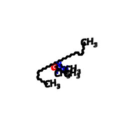 CCCCC/C=C\C/C=C\CCCCCCCCC(CCCCCCCC/C=C\C/C=C\CCCCC)N(CCCNC)C(=O)C(CC)CCCCC